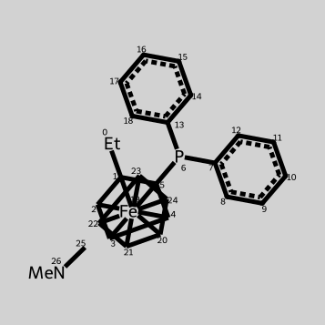 CC[C]12[CH]3[CH]4[CH]5[C]1(P(c1ccccc1)c1ccccc1)[Fe]43521678[CH]2[CH]1[CH]6[CH]7[CH]28.CNC